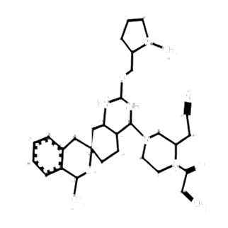 C=CC(=O)N1CCN(C2NC(OCC3CCCN3C)NC3C[C@]4(CCC32)Cc2ccccc2C(C)S4)CC1CC#N